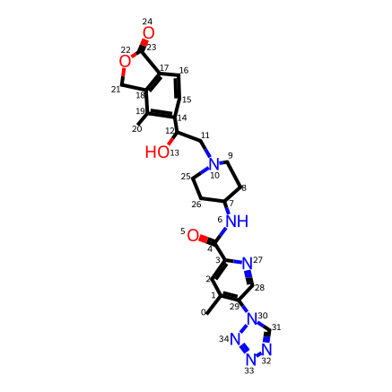 Cc1cc(C(=O)NC2CCN(CC(O)c3ccc4c(c3C)COC4=O)CC2)ncc1-n1cnnn1